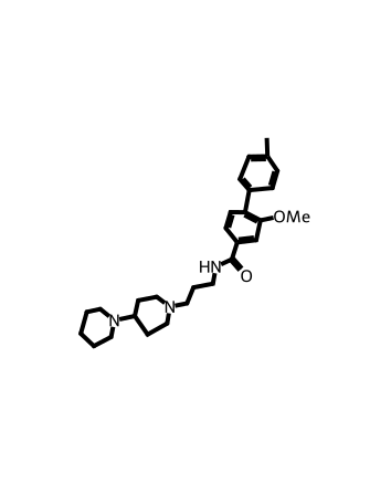 COc1cc(C(=O)NCCCN2CCC(N3CCCCC3)CC2)ccc1-c1ccc(C)cc1